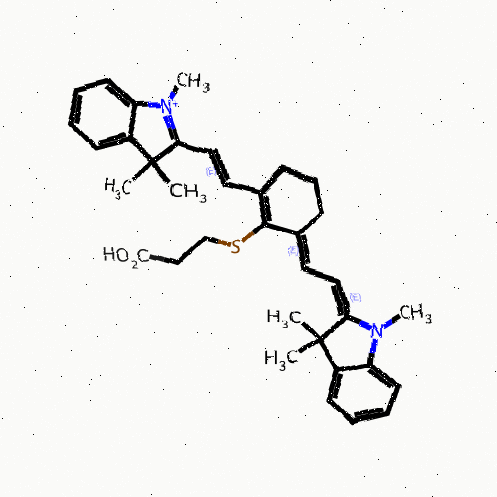 CN1/C(=C/C=C2\CCCC(/C=C/C3=[N+](C)c4ccccc4C3(C)C)=C2SCCC(=O)O)C(C)(C)c2ccccc21